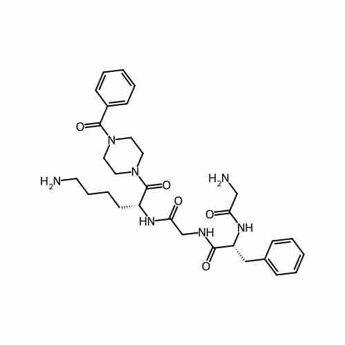 NCCCC[C@@H](NC(=O)CNC(=O)[C@@H](Cc1ccccc1)NC(=O)CN)C(=O)N1CCN(C(=O)c2ccccc2)CC1